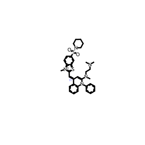 CN(C)CCN(C)C1=C/C(=C\c2sc3cc(S(=O)(=O)N4CCCCC4)ccc3[n+]2C)c2ccccc2N1c1ccccc1